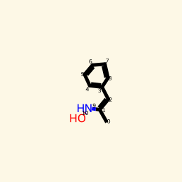 CC(=Cc1ccccc1)NO